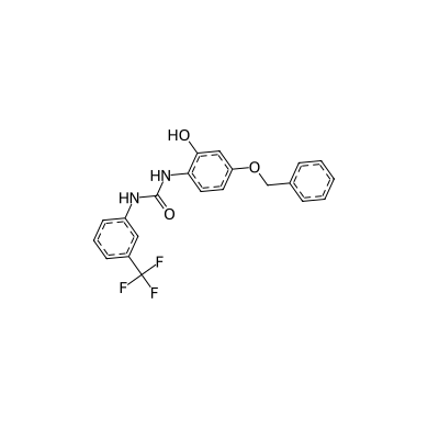 O=C(Nc1cccc(C(F)(F)F)c1)Nc1ccc(OCc2ccccc2)cc1O